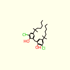 CCCCCC(C)(C)c1cc(Cl)c(O)c(Cc2cc(C(C)(C)CCCCC)cc(Cl)c2O)c1